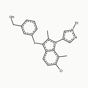 CCn1cc(-n2c(C)c(Sc3cccc(CO)c3)c3ccc(Cl)c(C)c32)cn1